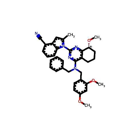 COc1ccc(CN(Cc2ccccc2)c2nc(-n3c(C)cc4c(C#N)cccc43)nc3c2CCC[C@H]3OC)c(OC)c1